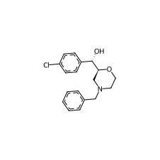 O[C@@H](c1ccc(Cl)cc1)[C@@H]1CN(Cc2ccccc2)CCO1